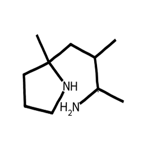 C[C](N)C(C)CC1(C)CCCN1